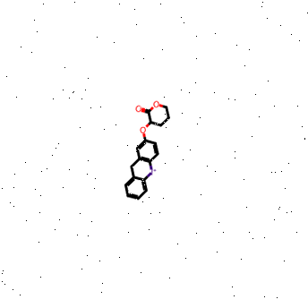 O=C1OCCCC1Oc1ccc2c(c1)Cc1ccccc1[I+]2